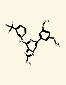 COc1cc(OC)cc(-c2cn3nc(N)nc3c(Nc3cccc(C(F)(F)F)c3)n2)c1